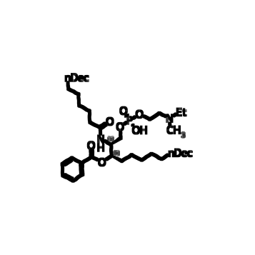 CCCCCCCCCCCCCCCC(=O)N[C@@H](COP(=O)(O)OCCN(C)CC)[C@@H](CCCCCCCCCCCCCCC)OC(=O)c1ccccc1